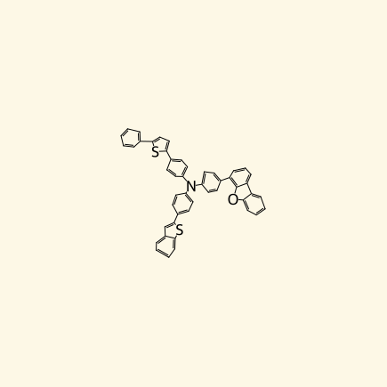 c1ccc(-c2ccc(-c3ccc(N(c4ccc(-c5cc6ccccc6s5)cc4)c4ccc(-c5cccc6c5oc5ccccc56)cc4)cc3)s2)cc1